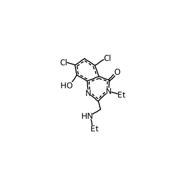 CCNCc1nc2c(O)c(Cl)cc(Cl)c2c(=O)n1CC